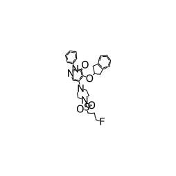 O=c1c(OC2Cc3ccccc3C2)c(N2CCN(S(=O)(=O)CCCF)CC2)cnn1-c1ccccc1